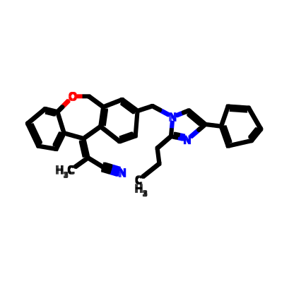 CCCc1nc(-c2ccccc2)cn1Cc1ccc2c(c1)COc1ccccc1C2=C(C)C#N